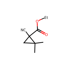 CCOC(=O)C1(C#N)CC1(C)C